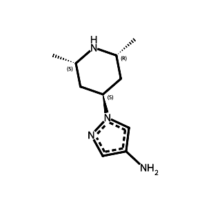 C[C@@H]1C[C@@H](n2cc(N)cn2)C[C@H](C)N1